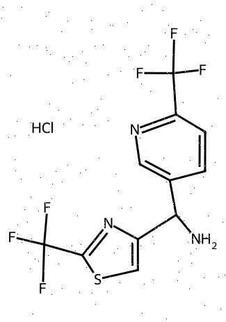 Cl.NC(c1ccc(C(F)(F)F)nc1)c1csc(C(F)(F)F)n1